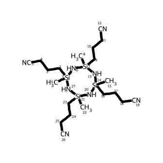 C[Si]1(CCCC#N)N[Si](C)(CCCC#N)N[Si](C)(CCCC#N)N[Si](C)(CCCC#N)N1